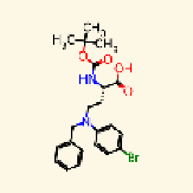 CC(C)(C)OC(=O)N[C@@H](CCN(Cc1ccccc1)c1ccc(Br)cc1)C(=O)O